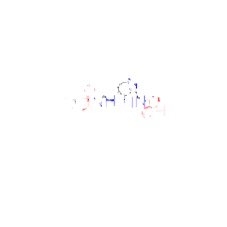 CC(C)(C)OC(=O)NC=Cc1ccnc(CNC(=O)O)c1